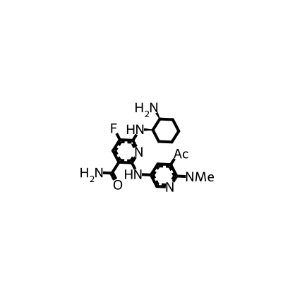 CNc1ncc(Nc2nc(N[C@@H]3CCCC[C@@H]3N)c(F)cc2C(N)=O)cc1C(C)=O